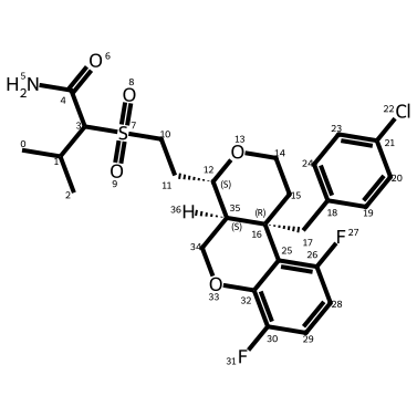 CC(C)C(C(N)=O)S(=O)(=O)CC[C@@H]1OCC[C@@]2(Cc3ccc(Cl)cc3)c3c(F)ccc(F)c3OC[C@@H]12